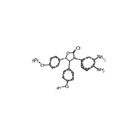 CCCOc1ccc(C2OC(=O)N(c3ccc(N)c(N)c3)C2c2ccc(OCCC)cc2)cc1